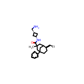 CC/C=C1\CCC2(c3ccccc3)CC1CC(C)(C(=O)N[C@H]1C[C@H](CN)C1)C2